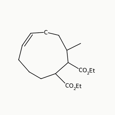 CCOC(=O)C1CCCC=CCCC(C)C1C(=O)OCC